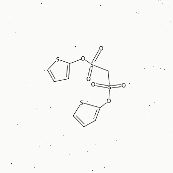 O=S(=O)(CS(=O)(=O)Oc1cccs1)Oc1cccs1